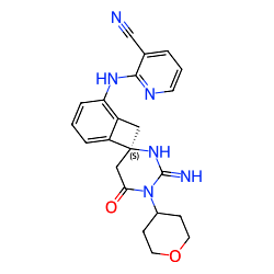 N#Cc1cccnc1Nc1cccc2c1C[C@]21CC(=O)N(C2CCOCC2)C(=N)N1